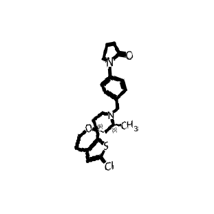 C[C@H]1C[C@@]2(CCN1Cc1ccc(N3CCCC3=O)cc1)OCCc1cc(Cl)sc12